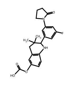 CC1(C)Cc2cc(OC(=O)O)ccc2NC1c1cc(F)cc(N2CCCC2=O)c1